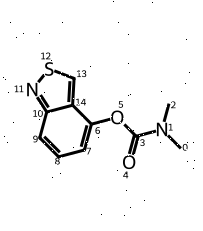 CN(C)C(=O)Oc1cccc2nscc12